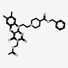 CC(=O)OCn1c(=O)nc2n(CCN3CCC(C(=O)OCc4ccccc4)CC3)c3cc(C)c(C)cc3nc-2c1=O